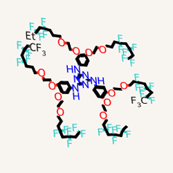 CCC(F)(F)CC(F)(F)CCCOCCOc1cc(Nc2nc(Nc3ccc(OCCOCCCC(F)(F)CC(F)(F)CC(F)(F)F)c(OCCOCCCC(F)(F)CC(F)(F)CC(F)F)c3)nc(Nc3ccc(OCCOCCC(F)(F)CC(F)(F)CC(C)(F)F)c(OCCOCCC(F)(F)CC(F)(F)CC(F)(F)C(F)(F)F)c3)n2)ccc1OCCOCCCC(F)(F)CC(F)(F)CC(F)F